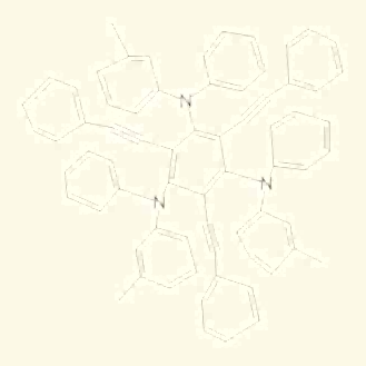 Cc1cccc(N(c2ccccc2)c2c(C#Cc3ccccc3)c(N(c3ccccc3)c3cccc(C)c3)c(C#Cc3ccccc3)c(N(c3ccccc3)c3cccc(C)c3)c2C#Cc2ccccc2)c1